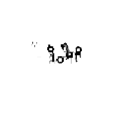 COc1ccc(CN(C)C(=O)[C@H]2CC[C@H](Oc3cc(-n4c(C(F)F)nc5ccccc54)nc(N4CCOCC4)n3)CC2)cc1